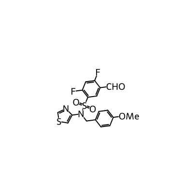 COc1ccc(CN(c2cscn2)S(=O)(=O)c2cc(C=O)c(F)cc2F)cc1